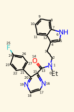 CCN(CCc1c[nH]c2ccccc12)C(=O)c1nccnc1-c1ccc(F)cc1